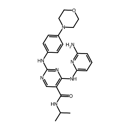 CC(C)NC(=O)c1cnc(Nc2ccc(N3CCOCC3)cc2)nc1Nc1cccc(N)n1